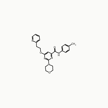 Cc1ccc(NC(=O)c2cc(OCCc3ccccn3)nc(N3CCOCC3)n2)cc1